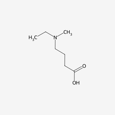 CCN(C)CCCC(=O)O